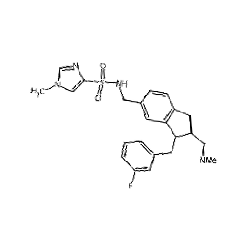 CNCC1Cc2ccc(CNS(=O)(=O)c3cn(C)cn3)cc2C1Cc1cccc(F)c1